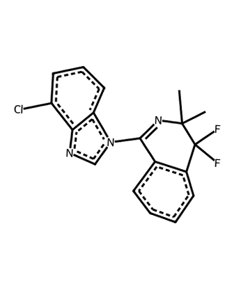 CC1(C)N=C(n2cnc3c(Cl)cccc32)c2ccccc2C1(F)F